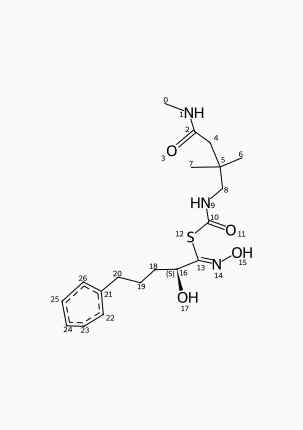 CNC(=O)CC(C)(C)CNC(=O)SC(=NO)[C@@H](O)CCCc1ccccc1